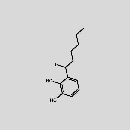 CCCCCC(F)c1cccc(O)c1O